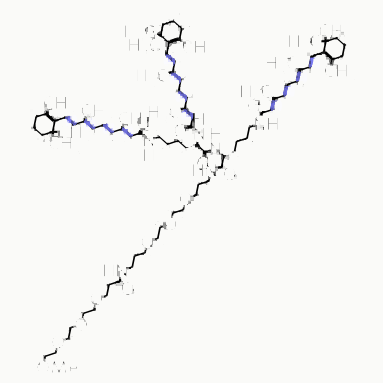 COCCOCCOCCOCCC(=O)NCCCOCCOCCOCCCNC(=O)[C@@H](CCCCNC(=O)/C=C(C)/C=C/C=C(C)/C=C/C1=C(C)CCCC1(C)C)NC(=O)[C@@H](CCCCNC(=O)/C=C(C)/C=C/C=C(C)/C=C/C1=C(C)CCCC1(C)C)NC(=O)/C=C(C)/C=C/C=C(C)/C=C/C1=C(C)CCCC1(C)C